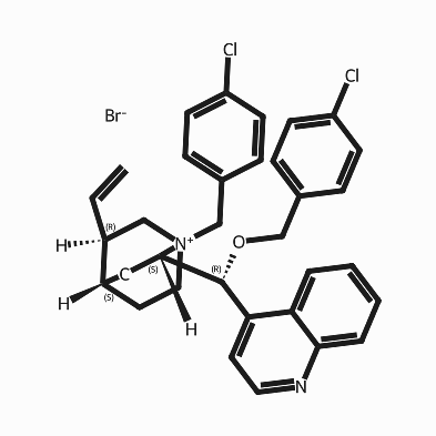 C=C[C@H]1C[N+]2(Cc3ccc(Cl)cc3)CC[C@H]1C[C@H]2[C@H](OCc1ccc(Cl)cc1)c1ccnc2ccccc12.[Br-]